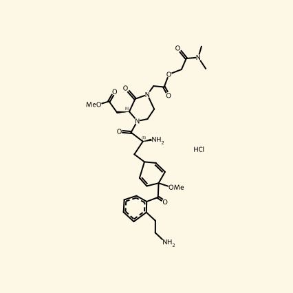 COC(=O)C[C@H]1C(=O)N(CC(=O)OCC(=O)N(C)C)CCN1C(=O)[C@@H](N)CC1C=CC(OC)(C(=O)c2ccccc2CCN)C=C1.Cl